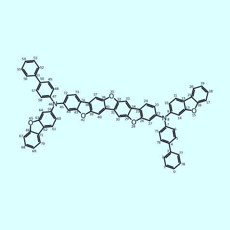 c1ccc(-c2ccc(N(c3ccc4c(c3)oc3ccccc34)c3ccc4c(c3)oc3cc5c(cc34)oc3cc4c(cc35)oc3cc(N(c5ccc(-c6ccccc6)cc5)c5ccc6c(c5)oc5ccccc56)ccc34)cc2)cc1